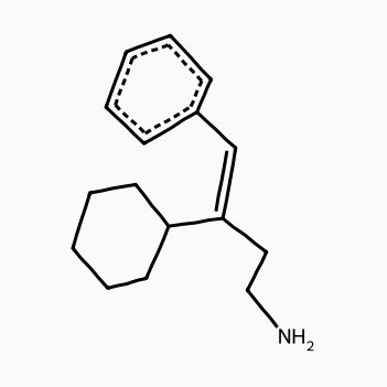 NCCC(=Cc1ccccc1)C1CCCCC1